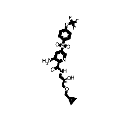 Nc1cc(S(=O)(=O)c2ccc(OC(F)(F)F)cc2)cnc1C(=O)NC[C@@H](O)COCC1CC1